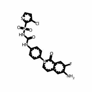 Nc1cc2ccn(-c3ccc(NC(=O)NS(=O)(=O)c4sccc4Cl)cc3)c(=O)c2cc1F